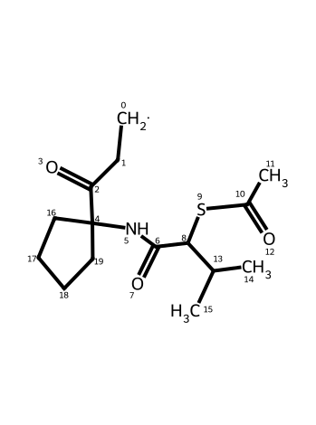 [CH2]CC(=O)C1(NC(=O)C(SC(C)=O)C(C)C)CCCC1